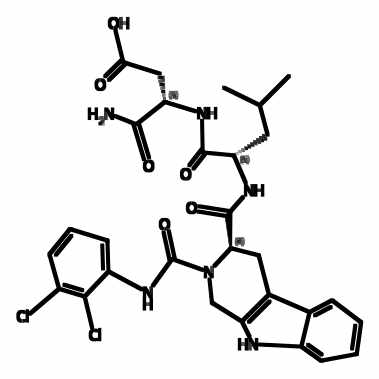 CC(C)C[C@H](NC(=O)[C@H]1Cc2c([nH]c3ccccc23)CN1C(=O)Nc1cccc(Cl)c1Cl)C(=O)N[C@@H](CC(=O)O)C(N)=O